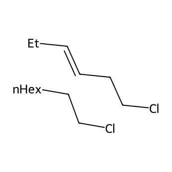 CCC=CCCCl.CCCCCCCCCl